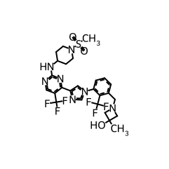 CC1(O)CN(Cc2cccc(-n3cnc(-c4nc(NC5CCN(S(C)(=O)=O)CC5)ncc4C(F)(F)F)c3)c2C(F)(F)F)C1